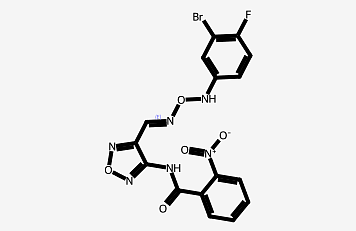 O=C(Nc1nonc1/C=N/ONc1ccc(F)c(Br)c1)c1ccccc1[N+](=O)[O-]